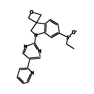 CC[S+]([O-])c1ccc2c(c1)N(c1ncc(-c3ccccn3)cn1)CC21COC1